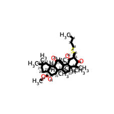 CCCCS/C=C1/C(=O)C(C)(C)[C@@H]2CC[C@]3(C)C(=CC(=O)[C@@H]4[C@@H]5CC(C)(C)CC[C@]5(C(=O)OC)CC[C@]43C)[C@@]2(C)C1=O